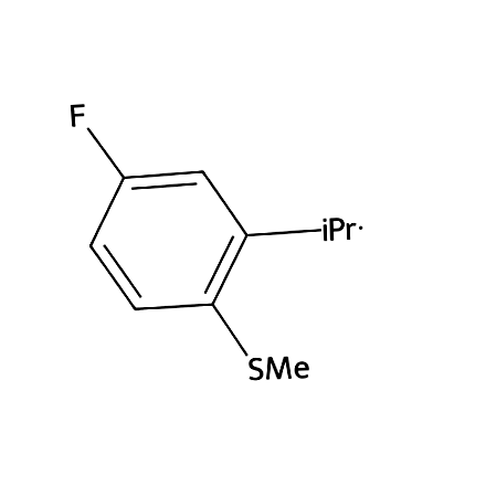 CSc1ccc(F)cc1[C](C)C